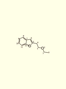 CCOCCc1cc2ccccc2o1